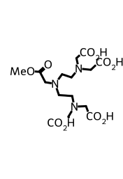 COC(=O)CN(CCN(CC(=O)O)CC(=O)O)CCN(CC(=O)O)CC(=O)O